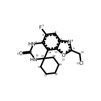 O=C1Nc2c(F)cc3nc(CCl)oc3c2C2(CCCCC2)N1